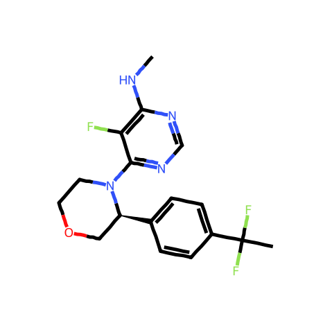 CNc1ncnc(N2CCOC[C@@H]2c2ccc(C(C)(F)F)cc2)c1F